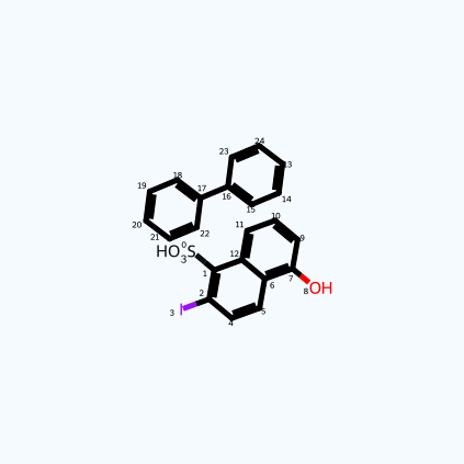 O=S(=O)(O)c1c(I)ccc2c(O)cccc12.c1ccc(-c2ccccc2)cc1